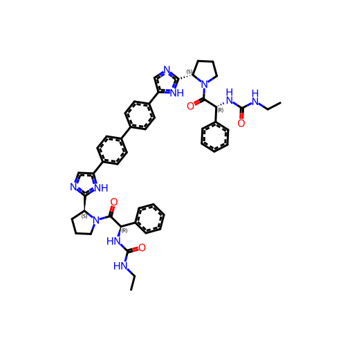 CCNC(=O)N[C@@H](C(=O)N1CCC[C@H]1c1ncc(-c2ccc(-c3ccc(-c4cnc([C@@H]5CCCN5C(=O)[C@H](NC(=O)NCC)c5ccccc5)[nH]4)cc3)cc2)[nH]1)c1ccccc1